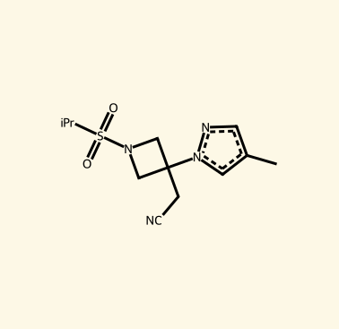 Cc1cnn(C2(CC#N)CN(S(=O)(=O)C(C)C)C2)c1